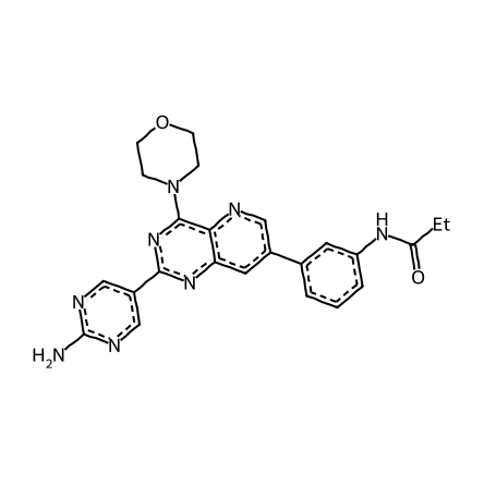 CCC(=O)Nc1cccc(-c2cnc3c(N4CCOCC4)nc(-c4cnc(N)nc4)nc3c2)c1